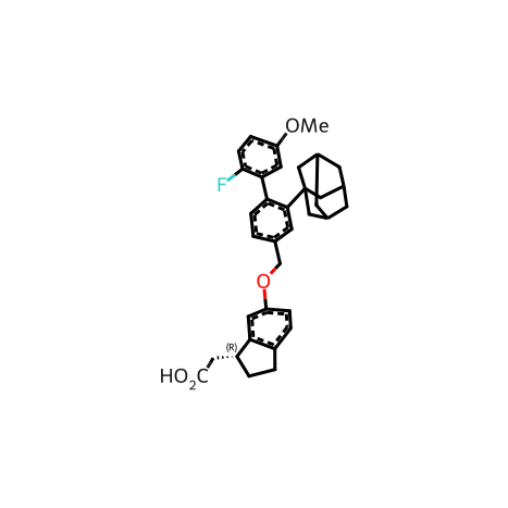 COc1ccc(F)c(-c2ccc(COc3ccc4c(c3)[C@@H](CC(=O)O)CC4)cc2C23CC4CC(CC(C4)C2)C3)c1